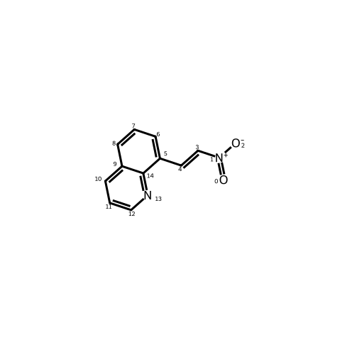 O=[N+]([O-])C=Cc1cccc2cccnc12